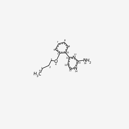 CCCCOc1ccccc1-c1ccnc(N)n1